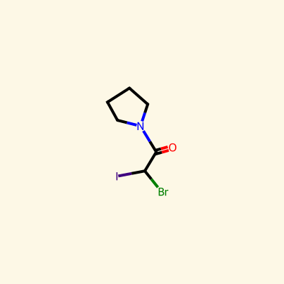 O=C(C(Br)I)N1CCCC1